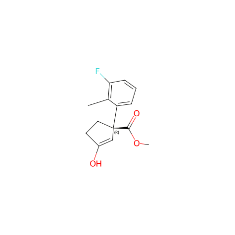 COC(=O)[C@@]1(c2cccc(F)c2C)C=C(O)CC1